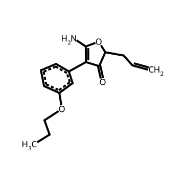 C=CCC1OC(N)=C(c2cccc(OCCC)c2)C1=O